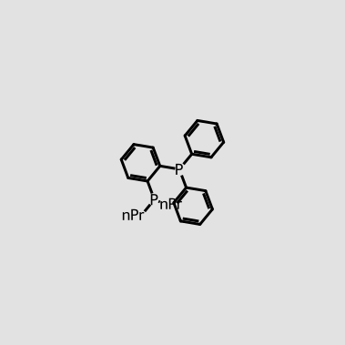 CCCP(CCC)c1ccccc1P(c1ccccc1)c1ccccc1